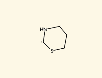 [C]1CCS[C]N1